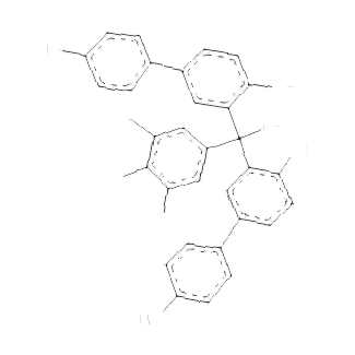 CC(c1cc(I)c(O)c(I)c1)(c1cc(-c2ccc(O)cc2)ccc1O)c1cc(-c2ccc(O)cc2)ccc1O